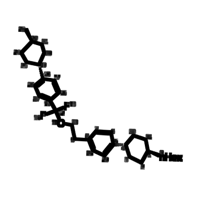 CCCCCC[C@H]1CC[C@H](c2ccc(CCOC(F)(F)c3ccc([C@H]4CC[C@H](C)CC4)cc3)cc2)CC1